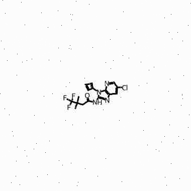 CC(C)(CC(=O)Nc1nc2cc(Cl)cnc2n1C1=CC=C1)C(F)(F)F